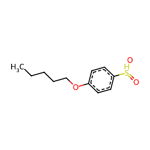 CCCCCOc1ccc([SH](=O)=O)cc1